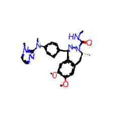 CNC(=O)N1N=C(c2ccc(N(C)c3nccn3C)cc2)c2cc(OC)c(OC)cc2C[C@H]1C